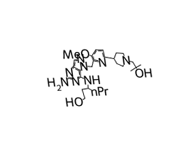 CCCC(CCO)Nc1nc(N)nc2cnn(Cc3nc(C4CCN(CC(C)(C)O)CC4)ccc3OC)c12